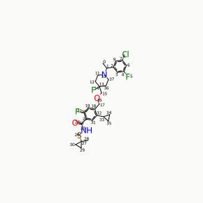 CC(c1cc(F)cc(Cl)c1)N1CCC(F)(COCc2cc(F)c(C(=O)NSC3(C)CC3)cc2C2CC2)CC1